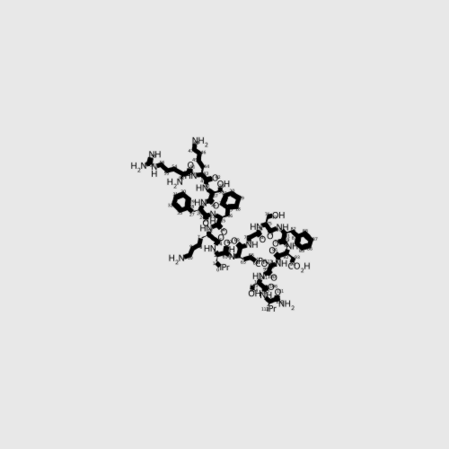 CC(C)C[C@H](NC(=O)[C@H](CCCCN)NC(=O)[C@H](Cc1ccccc1)NC(=O)[C@H](Cc1ccccc1)NC(=O)[C@H](CO)NC(=O)[C@H](CCCCN)NC(=O)[C@@H](N)CCCNC(=N)N)C(=O)N[C@@H](CCC(=O)O)C(=O)NCC(=O)N[C@@H](CO)C(=O)N[C@@H](Cc1ccccc1)C(=O)N[C@@H](CC(=O)O)C(=O)N[C@H](C(=O)N[C@@H](CO)C(=O)N[C@H](C(N)=O)C(C)C)C(C)C